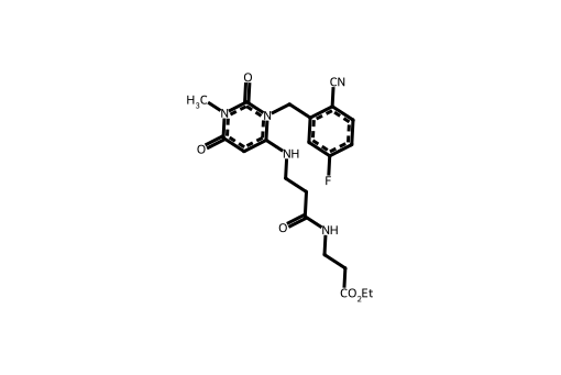 CCOC(=O)CCNC(=O)CCNc1cc(=O)n(C)c(=O)n1Cc1cc(F)ccc1C#N